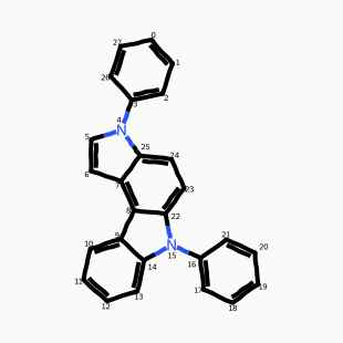 c1ccc(-n2ccc3c4c5ccccc5n(-c5ccccc5)c4ccc32)cc1